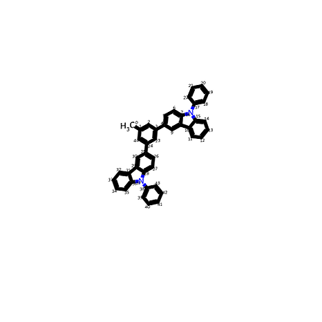 Cc1cc(-c2ccc3c(c2)c2ccccc2n3-c2ccccc2)cc(-c2ccc3c(c2)c2ccccc2n3-c2ccccc2)c1